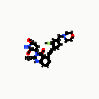 Cc1nc2cccc(C#Cc3ccc(CN4CCOCC4)cc3F)c2c(=O)n1C1CCC(=O)NC1=O